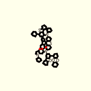 c1ccc(-c2ccc(N(c3ccccc3)c3ccc4c(c3)C3(c5cc(N(c6cc(-c7cccc8c7Oc7ccccc7O8)c7oc8ccccc8c7c6)c6ccc7ccn(-c8ccccc8)c7c6)ccc5S4)c4ccccc4-c4ccccc43)c3c2sc2ccccc23)cc1